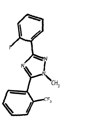 Cn1nc(-c2ccccc2I)nc1-c1ccccc1C(F)(F)F